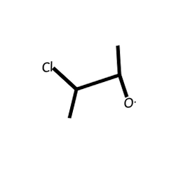 CC([O])C(C)Cl